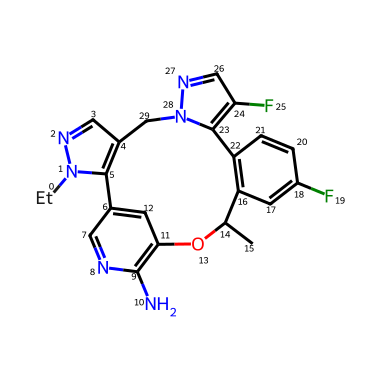 CCn1ncc2c1-c1cnc(N)c(c1)OC(C)c1cc(F)ccc1-c1c(F)cnn1C2